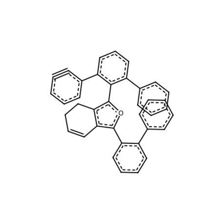 c1cccc(-c2cccc(-c3ccccc3)c2-c2oc(-c3ccccc3-c3ccccc3)c3c2CCC=C3)c#1